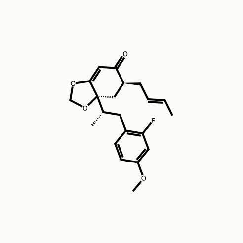 C/C=C/C[C@H]1C[C@]2([C@@H](C)Cc3ccc(OC)cc3F)OCOC2=CC1=O